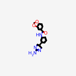 Nc1ncc(-c2cccc(NC(=O)c3ccc4c(c3)OCO4)c2)cn1